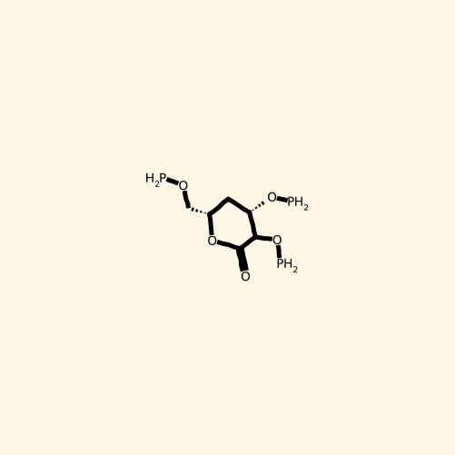 O=C1O[C@H](COP)C[C@H](OP)C1OP